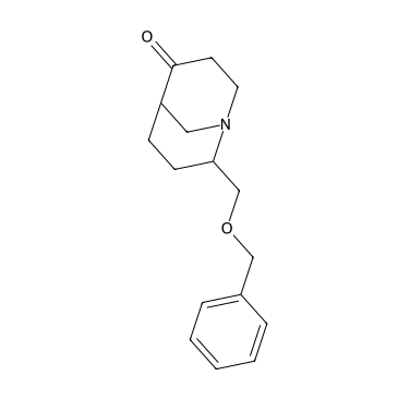 O=C1CCN2CC1CCC2COCc1ccccc1